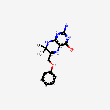 CC1(C)Nc2nc(N)nc(O)c2N=C1COc1ccccc1